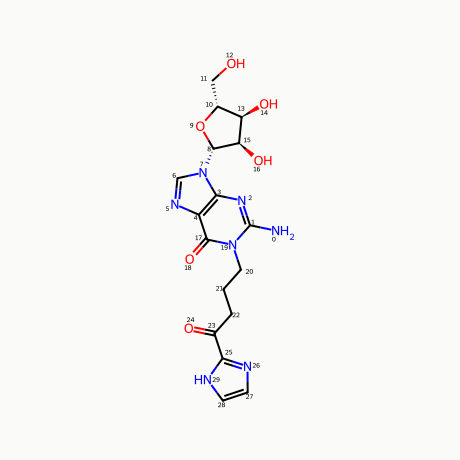 Nc1nc2c(ncn2[C@@H]2O[C@H](CO)[C@@H](O)[C@H]2O)c(=O)n1CCCC(=O)c1ncc[nH]1